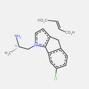 C[C@H](N)Cn1ccc2c1-c1cc(Cl)ccc1C2.O=C(O)C=CC(=O)O